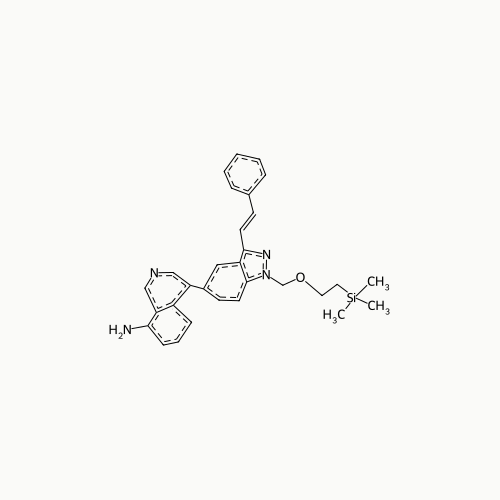 C[Si](C)(C)CCOCn1nc(C=Cc2ccccc2)c2cc(-c3cncc4c(N)cccc34)ccc21